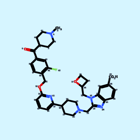 CN1CCC(C(=O)c2ccc(COc3cccc(C4CCN(Cc5nc6ccc(C(=O)O)cc6n5CC5CCO5)CC4)n3)c(F)c2)CC1